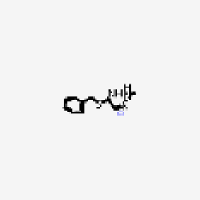 CN/N=C\C(=N)SCc1ccccc1